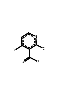 O=C(Cl)c1c(Br)ccnc1Cl